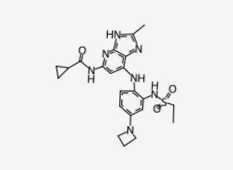 CCS(=O)(=O)Nc1cc(N2CCC2)ccc1Nc1cc(NC(=O)C2CC2)nc2[nH]c(C)nc12